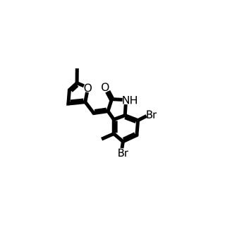 Cc1ccc(C=C2C(=O)Nc3c(Br)cc(Br)c(C)c32)o1